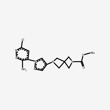 CC(C)(C)OC(=O)N1CC2(C1)CN(c1cnn(-c3cc(Cl)nnc3N)c1)C2